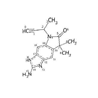 C#CC(C)N1C(=O)C(C)(C)c2cc3nc(N)[nH]c3cc21